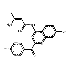 C/C(N)=C/C(=N)Nc1nc(C(=O)c2ccc(F)cc2)nc2cc(O)ccc12